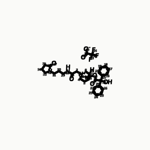 O=C(C[N+]12CCC(CC1)[C@@H](OC(=O)C(O)(c1ccccc1)c1ccccc1)C2)NCCCN1CCCC1=O.O=C([O-])C(F)(F)F